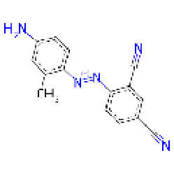 Cc1cc(N)ccc1/N=N/c1ccc(C#N)cc1C#N